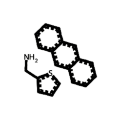 NCc1cccs1.c1ccc2cc3ccccc3cc2c1